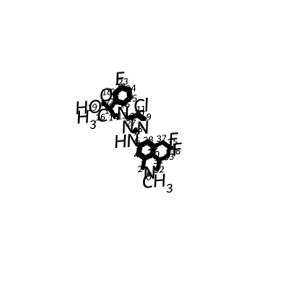 CN1Cc2cc(Nc3ncc(Cl)c(N4CC(C)(C(=O)O)c5cc(F)ccc54)n3)cc3c2C(C1)CC(F)(F)C3